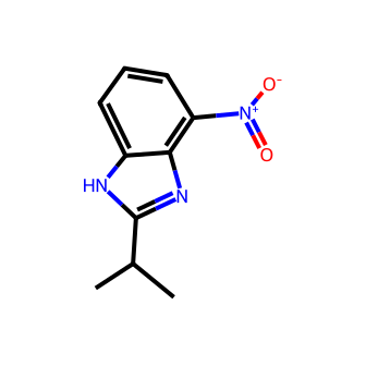 CC(C)c1nc2c([N+](=O)[O-])cccc2[nH]1